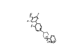 CCCCC[Si]1(c2ccccc2)CCC(c2ccc(-c3cc(F)c(F)c(F)c3)c(F)c2)CC1